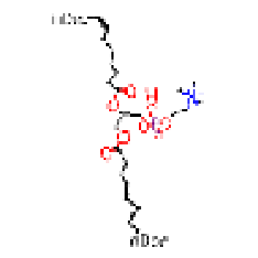 CCCCCCCCCC/C=C\CCCCCC(=O)O[C@H](COC(=O)CCCCCCCCCCCCCCCCC)COP(=O)(O)OCC[N+](C)(C)C